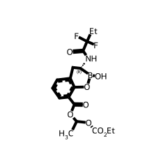 CCOC(=O)OC(C)OC(=O)c1cccc2c1OB(O)[C@@H](NC(=O)C(F)(F)CC)C2